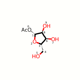 CC(=O)O[C@H]1O[C@@H](CO)[C@H](O)[C@@H]1O